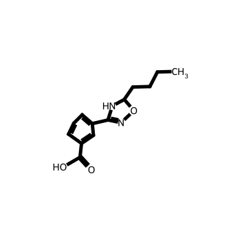 CCCCC1NC(c2cccc(C(=O)O)c2)=NO1